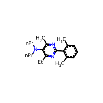 CCCN(CCC)c1c(C)nc(-c2c(C)cccc2C)nc1CC